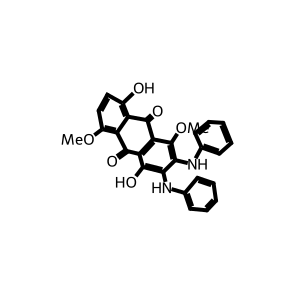 COc1ccc(O)c2c1C(=O)c1c(O)c(Nc3ccccc3)c(Nc3ccccc3)c(OC)c1C2=O